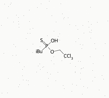 CCC(C)P(O)(=S)OCC(Cl)(Cl)Cl